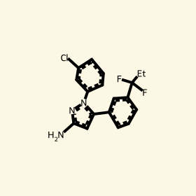 CCC(F)(F)c1cccc(-c2cc(N)nn2-c2cccc(Cl)c2)c1